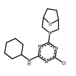 Clc1nc(NC2CCCCC2)nc(N2CC3CCC(C2)O3)n1